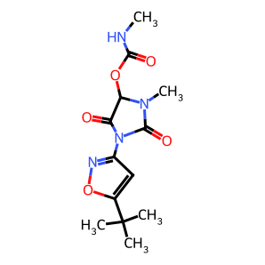 CNC(=O)OC1C(=O)N(c2cc(C(C)(C)C)on2)C(=O)N1C